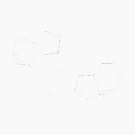 C=C.[CH3][Zr]([CH3])([CH]1C=Cc2ccccc21)[CH]1C=Cc2ccccc21